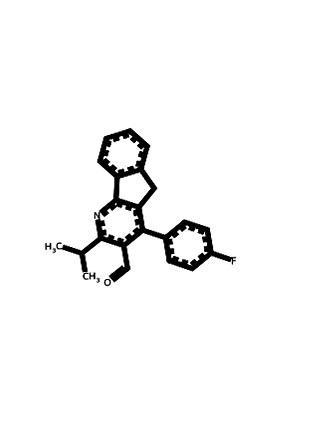 CC(C)c1nc2c(c(-c3ccc(F)cc3)c1C=O)Cc1ccccc1-2